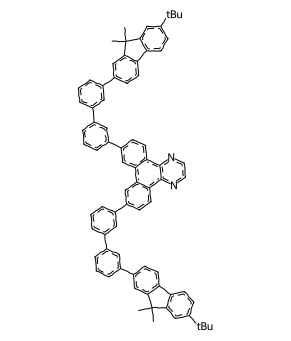 CC(C)(C)c1ccc2c(c1)C(C)(C)c1cc(-c3cccc(-c4cccc(-c5ccc6c(c5)c5cc(-c7cccc(-c8cccc(-c9ccc%10c(c9)C(C)(C)c9cc(C(C)(C)C)ccc9-%10)c8)c7)ccc5c5nccnc65)c4)c3)ccc1-2